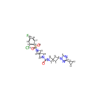 O=C(N1CC2(CC(n3cnc(C4CC4)n3)C2)C1)N1CC2(C1)CN(S(=O)(=O)c1ccc(F)cc1Cl)C2